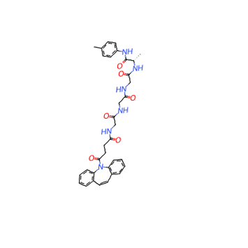 Cc1ccc(NC(=O)[C@H](C)NC(=O)CNC(=O)CNC(=O)CNC(=O)CCC(=O)N2c3ccccc3C=Cc3ccccc32)cc1